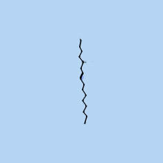 CCCCC[C@@H](O)C/C=C/CCCCCCCC=O